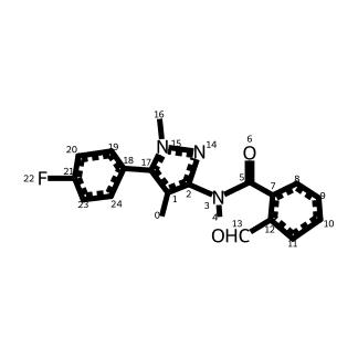 Cc1c(N(C)C(=O)c2ccccc2C=O)nn(C)c1-c1ccc(F)cc1